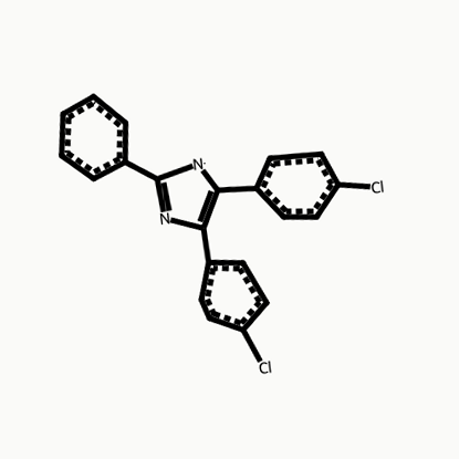 Clc1ccc(C2=C(c3ccc(Cl)cc3)N=C(c3ccccc3)[N]2)cc1